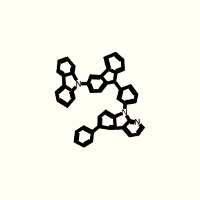 c1ccc(-c2ccc3c(c2)c2cccnc2n3-c2cccc(C3c4ccccc4-c4cc(-n5c6ccccc6c6ccccc65)ccc43)c2)cc1